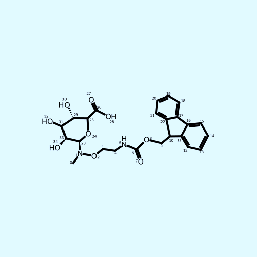 CN(OCCNC(=O)OCC1c2ccccc2-c2ccccc21)[C@@H]1OC(C(=O)O)[C@@H](O)C(O)[C@@H]1O